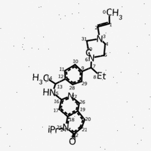 CC=CN1CCN(C(CC)c2ccc(C(C)Nc3cc4c(ccc(=O)n4C(C)C)cn3)cc2)CC1